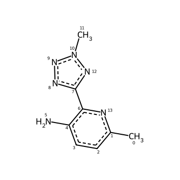 Cc1ccc(N)c(-c2nnn(C)n2)n1